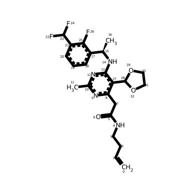 C=CCCNC(=O)Cc1nc(C)nc(N[C@H](C)c2cccc(C(F)F)c2F)c1C1OCCO1